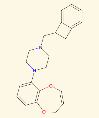 C1=COc2c(cccc2N2CCN(CC3Cc4ccccc43)CC2)OC1